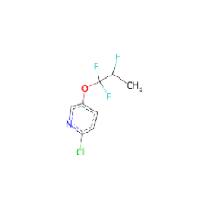 CC(F)C(F)(F)Oc1ccc(Cl)nc1